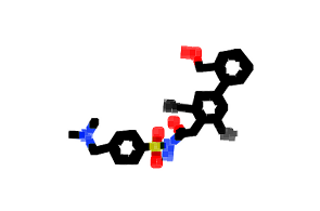 CC(C)c1cc(-c2ccccc2CO)cc(C(C)C)c1CC(=O)NS(=O)(=O)c1ccc(CN(C)C)cc1